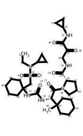 CCN(C1CC1)S(=O)(=O)CC1(NC(=O)N[C@H](C(=O)N2CCC[C@H]2C(=O)NCC(=O)C(=O)NC2CC2)C2(C)CCCCC2)CCCCC1